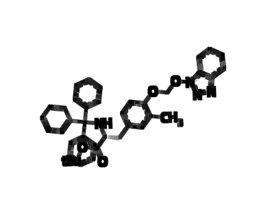 Cc1cc(C[C@@H](NC(C2=C=C=CC=C2)(c2ccccc2)c2ccccc2)C(=O)OC(C)(C)C)ccc1OCOn1nnc2ccccc21